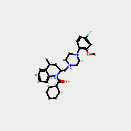 COc1cc(F)ccc1N1CCN(CC2CC(C)c3ccccc3N2C(=O)C2CCCCC2)CC1